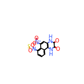 O=c1[nH]c2cc([N+](=O)[O-])c3c(N4OSO4)cccc3c2[nH]c1=O